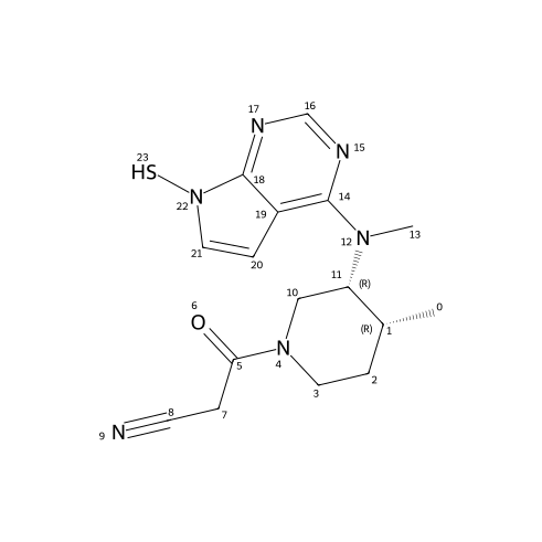 C[C@@H]1CCN(C(=O)CC#N)C[C@@H]1N(C)c1ncnc2c1ccn2S